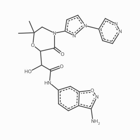 CC1(C)CN(c2ccn(-c3ccnnc3)n2)C(=O)C(C(O)C(=O)Nc2ccc3c(N)noc3c2)O1